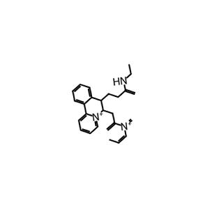 C=C(CCC1c2ccccc2-c2cccc[n+]2C1CC(=C)[N+](=C)/C=C\C)NCC